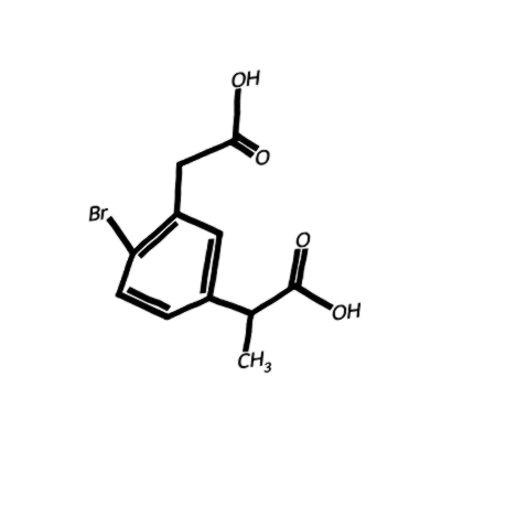 CC(C(=O)O)c1ccc(Br)c(CC(=O)O)c1